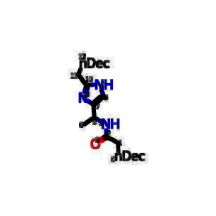 CCCCCCCCCCCC(=O)NC(C)c1c[nH]c(CCCCCCCCCCC)n1